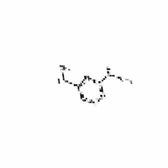 CNc1cncc(NC)n1